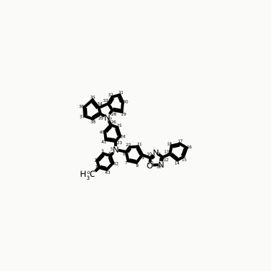 Cc1ccc(N(c2ccc(-c3nc(-c4ccccc4)no3)cc2)c2ccc(-n3c4ccccc4c4ccccc43)cc2)cc1